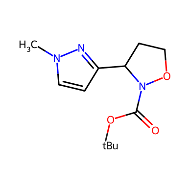 Cn1ccc(C2CCON2C(=O)OC(C)(C)C)n1